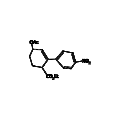 CCOC(=O)C1CCC(OC(C)=O)C=C1c1ccc([N+](=O)[O-])cc1